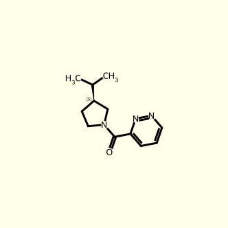 CC(C)[C@@H]1CCN(C(=O)c2cccnn2)C1